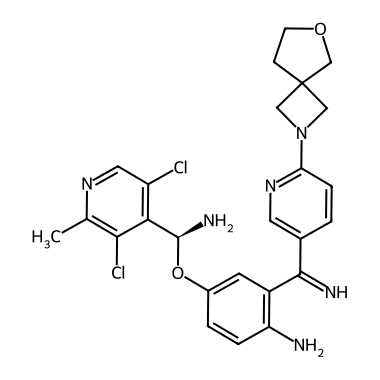 Cc1ncc(Cl)c([C@@H](N)Oc2ccc(N)c(C(=N)c3ccc(N4CC5(CCOC5)C4)nc3)c2)c1Cl